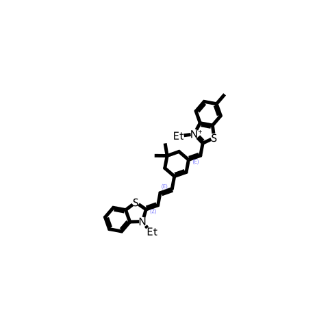 CCN1/C(=C/C=C/C2=CC(=C/c3sc4cc(C)ccc4[n+]3CC)/CC(C)(C)C2)Sc2ccccc21